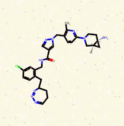 Cc1nc(N2CC[C@@]3(N)C[C@H]3C2)ccc1Cn1cc(C(=O)NCc2cc(Cl)ccc2CC2CCC=NN=N2)cn1